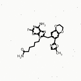 Cc1cnc(-c2cc3c(cc2Cc2nc4c(N)nc(F)nc4n2CCCCCC(N)=O)OCCO3)o1